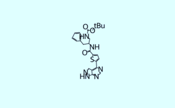 CC(C)(C)OC(=O)NCC(Cc1ccccc1)NC(=O)c1ccc(-c2ncnc3[nH]ncc23)s1